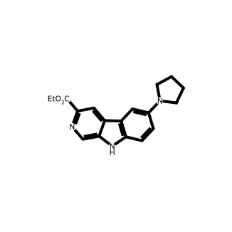 CCOC(=O)c1cc2c(cn1)[nH]c1ccc(N3CCCC3)cc12